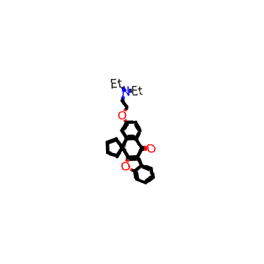 CCN(CC)CCOc1ccc2c(c1)C1(CCCC1)c1oc3ccccc3c1C2=O